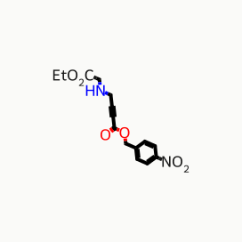 CCOC(=O)CNCC#CC(=O)OCc1ccc([N+](=O)[O-])cc1